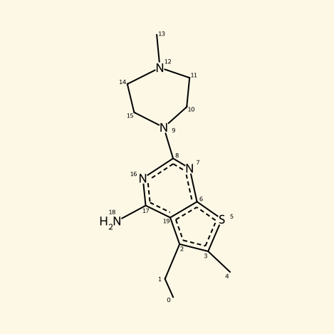 CCc1c(C)sc2nc(N3CCN(C)CC3)nc(N)c12